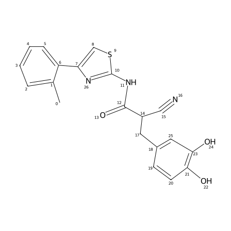 Cc1ccccc1-c1csc(NC(=O)C(C#N)Cc2ccc(O)c(O)c2)n1